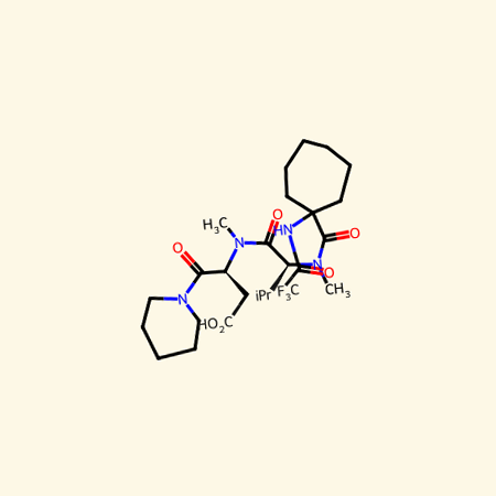 CC(C)[C@@H](C(=O)N(C)[C@@H](CC(=O)O)C(=O)N1CCCCC1)N(C)C(=O)C1(NC(=O)C(F)(F)F)CCCCCC1